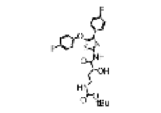 CC(C)(C)OC(=O)NCCC(O)C(=O)Nc1nc(-c2ccc(F)cc2)c(Oc2ccc(F)cc2)s1